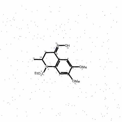 CCOC(=O)N1c2cc(OC)c(OC)cc2/C(=N\O)CC1C